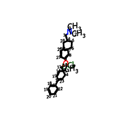 CN(C)CC1CCc2cc(OCC3(C)C=CC(c4ccccc4)=CC3)ccc2C1.Cl